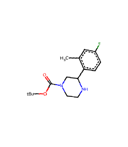 Cc1cc(F)ccc1C1CN(C(=O)OC(C)(C)C)CCN1